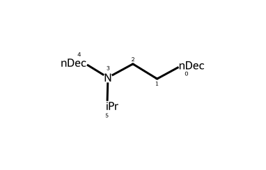 CCCCCCCCCCCCN(CCCCCCCCCC)C(C)C